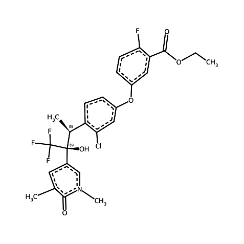 CCOC(=O)c1cc(Oc2ccc([C@H](C)[C@](O)(c3cc(C)c(=O)n(C)c3)C(F)(F)F)c(Cl)c2)ccc1F